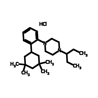 CCC(CC)N1CCN(c2ccccc2C2CC(C)(C)CC(C)(C)C2)CC1.Cl